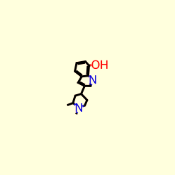 CC1CC(c2cnc3c(O)cccc3c2)CCN1C